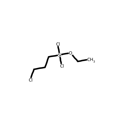 CCO[Si](Cl)(Cl)CCCCl